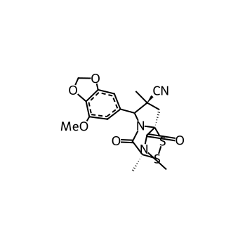 COc1cc(C2N3C(=O)[C@]4(C)SS[C@@]3(C[C@]2(C)C#N)C(=O)N4C)cc2c1OCO2